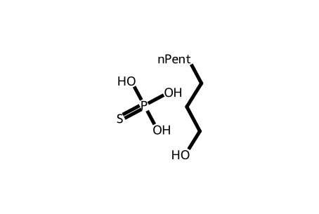 CCCCCCCCO.OP(O)(O)=S